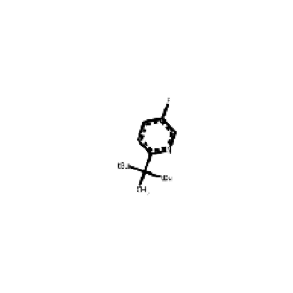 CC(C)(C)C(C)(c1ccc(F)cn1)C(C)(C)C